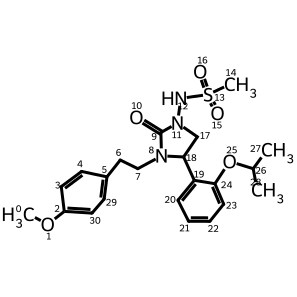 COc1ccc(CCN2C(=O)N(NS(C)(=O)=O)CC2c2ccccc2OC(C)C)cc1